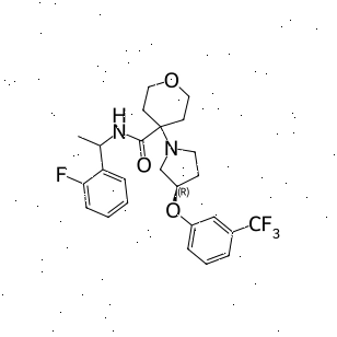 CC(NC(=O)C1(N2CC[C@@H](Oc3cccc(C(F)(F)F)c3)C2)CCOCC1)c1ccccc1F